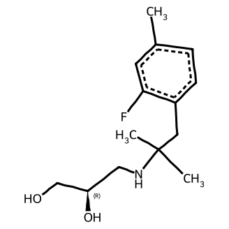 Cc1ccc(CC(C)(C)NC[C@@H](O)CO)c(F)c1